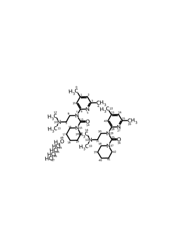 Cc1cc(C)nc(N(CCN(C)C)C(=O)N2CCCCC2)c1.Cc1cc(C)nc(N(CCN(C)C)C(=O)N2CCCCC2)c1.Cl.Cl.Cl.Cl.O